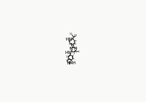 Cc1cc(Nc2ccc3[nH]ncc3c2)nc(N2CCNC(C(C)C)CC2)n1